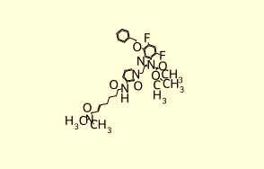 CN(C)C(=O)/C=C/CCCC(=O)Nc1cccn(Cc2nc3c(OCc4ccccc4)c(F)cc(F)c3n2C(=O)OC(C)(C)C)c1=O